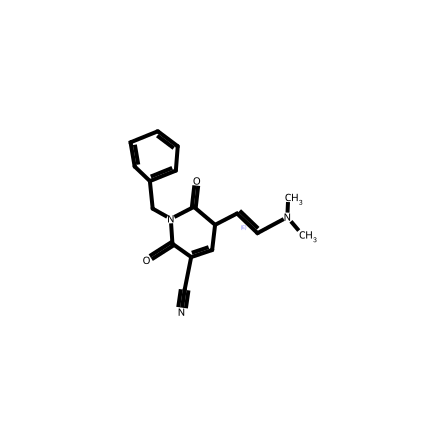 CN(C)/C=C/C1C=C(C#N)C(=O)N(Cc2ccccc2)C1=O